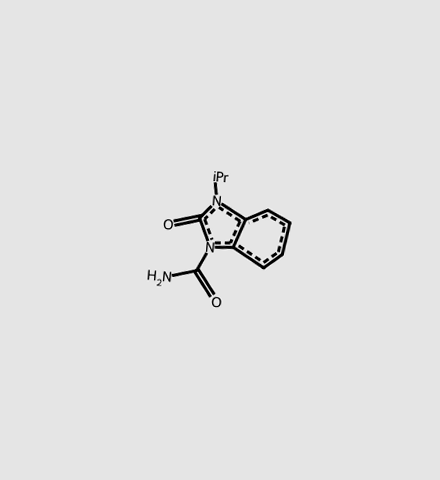 CC(C)n1c(=O)n(C(N)=O)c2ccccc21